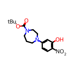 CC(C)(C)OC(=O)N1CCCN(c2ccc([N+](=O)[O-])c(O)c2)CC1